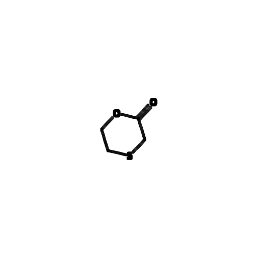 O=C1CSCCO1